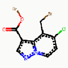 O=C(OBr)c1cnn2ccc(Cl)c(CBr)c12